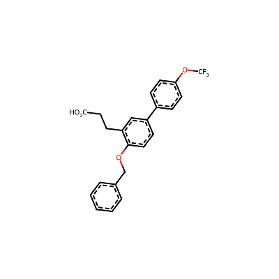 O=C(O)CCc1cc(-c2ccc(OC(F)(F)F)cc2)ccc1OCc1ccccc1